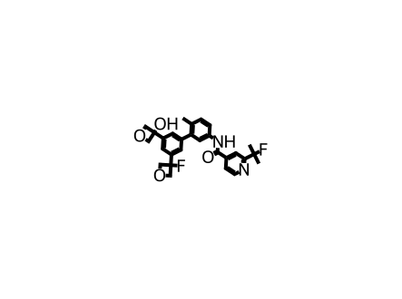 Cc1ccc(NC(=O)c2ccnc(C(C)(C)F)c2)cc1-c1cc(C2(O)COC2)cc(C2(F)COC2)c1